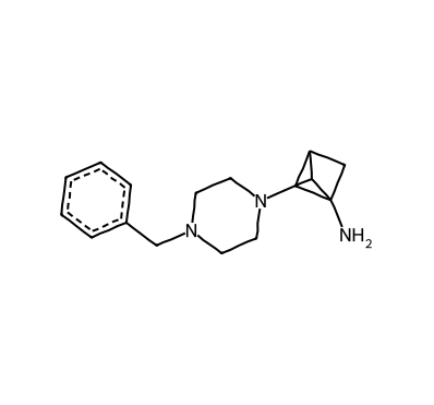 NC12CC(C1)C2N1CCN(Cc2ccccc2)CC1